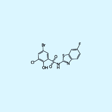 O=S(=O)(Nc1nc2ccc(F)cc2s1)c1cc(Br)cc(Cl)c1O